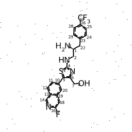 N[C@H](CNc1nc(CO)c(-c2ccc3cnc(F)cc3c2)s1)Cc1ccc(C(F)(F)F)cc1